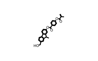 C=C(C)C(=O)Oc1ccc(C(=O)Oc2ccc3c(c2)C(C)c2cc(CO)ccc2-3)cc1